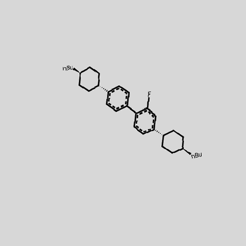 CCCC[C@H]1CC[C@H](c2ccc(-c3ccc([C@H]4CC[C@H](CCCC)CC4)cc3F)cc2)CC1